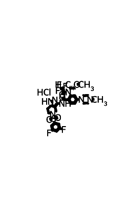 COC[C@H](C)N(C(=O)C(F)(F)F)c1cc(N2CCN(C)CC2)ccc1C(=O)Nc1n[nH]c2c1CN(S(=O)(=O)c1cc(F)cc(F)c1)CC2.Cl